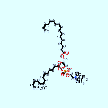 CC/C=C\C/C=C\C/C=C\CCCCCCCC(=O)OC[C@H](COP(=O)([O-])OCC[N+](C)(C)C)OC(=O)CCCC/C=C\C/C=C\C/C=C\CCCCC